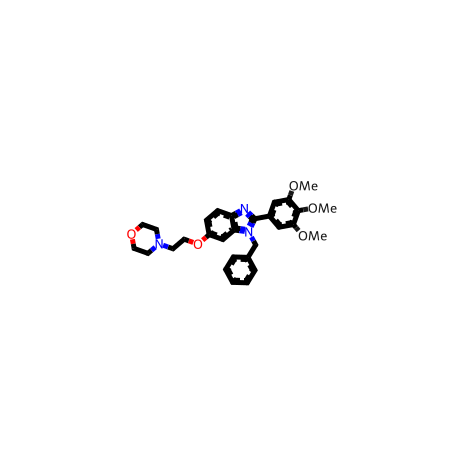 COc1cc(-c2nc3ccc(OCCN4CCOCC4)cc3n2Cc2ccccc2)cc(OC)c1OC